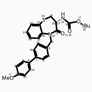 COc1ccc(-c2ccc(CN3C(=O)[C@@H](NC(=O)OC(C)(C)C)CSc4ccccc43)cc2)cc1